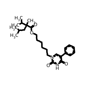 CC(C)CC(C)(C(=O)OCCCCCCn1cc(-c2ccccc2)c(=O)[nH]c1=O)C(C)C